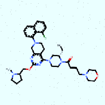 CN1CCCC1COc1nc2c(c(N3CCN(C(=O)/C=C/CN4CCOCC4)[C@@H](CC#N)C3)n1)CCN(c1cccc3cccc(Cl)c13)C2